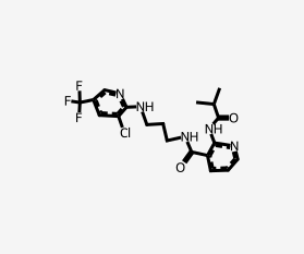 CC(C)C(=O)Nc1ncccc1C(=O)NCCCNc1ncc(C(F)(F)F)cc1Cl